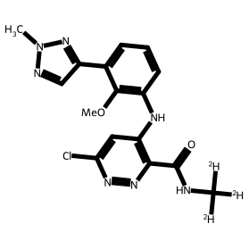 [2H]C([2H])([2H])NC(=O)c1nnc(Cl)cc1Nc1cccc(-c2cnn(C)n2)c1OC